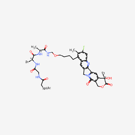 CC[C@@]1(O)C(=O)OCc2c1cc1n(c2=O)Cc2cc3c(CCCCOCNC(=O)[C@H](C)NC(=O)[C@@H](NC(=O)CNC(=O)CNC(C)=O)C(C)C)c(C)c(F)cc3nc2-1